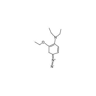 CCOC1=C(N(CC)CC)C=CC(=[N+]=[N-])C1